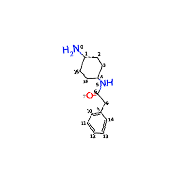 NC1CCC(NC(=O)Cc2ccccc2)CC1